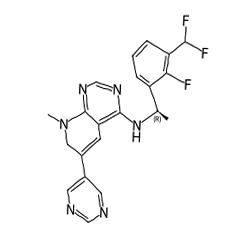 C[C@@H](Nc1ncnc2c1C=C(c1cncnc1)CN2C)c1cccc(C(F)F)c1F